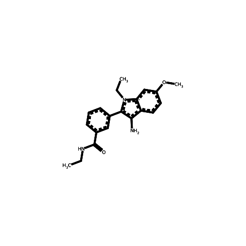 CCNC(=O)c1cccc(-c2c(N)c3ccc(OC)cc3n2CC)c1